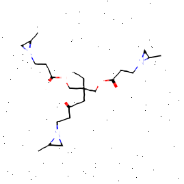 CCC(COC(=O)CCN1CC1C)(COC(=O)CCN1CC1C)CC(=O)CCN1CC1C